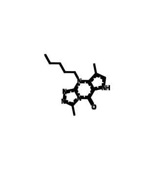 CCCCCn1c2c(C)c[nH]c2c(=O)n2c(C)nnc12